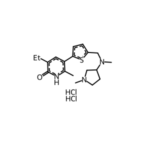 CCc1cc(-c2ccc(CN(C)C3CCN(C)C3)s2)c(C)[nH]c1=O.Cl.Cl